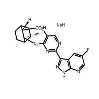 O=C(O)[C@H]1C2CCC(CC2)[C@@H]1Nc1nc(-c2n[nH]c3ncc(F)cc23)ncc1F.[NaH]